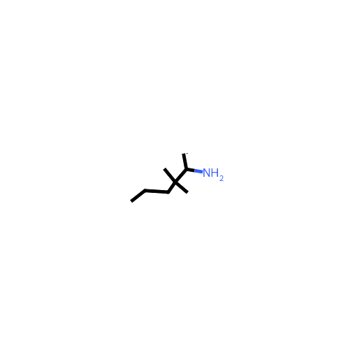 [CH2]C(N)C(C)(C)CCC